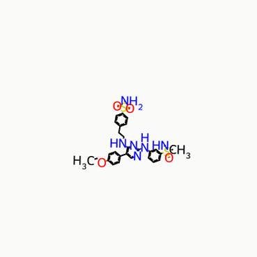 CCOc1ccc(-c2cnc(Nc3cccc(S(C)(=N)=O)c3)nc2NCCc2ccc(S(N)(=O)=O)cc2)cc1